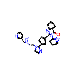 O=c1c2ccccc2nc(-c2ccc(-c3nccn3CCNCc3cccnc3)cc2)n1-c1ccccn1